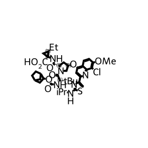 CC[C@@H]1C[C@]1(NC(=O)[C@@H]1C[C@@H](Oc2cc(-c3csc(NC(C)C)n3)nc3c(Cl)c(OC)ccc23)CN1C(=O)[C@@H](NC(=O)OC1CC2CCC1C2)C(C)(C)C)C(=O)O